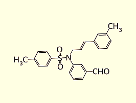 Cc1ccc(S(=O)(=O)N(C/C=C/c2cccc(C)c2)c2cccc(C=O)c2)cc1